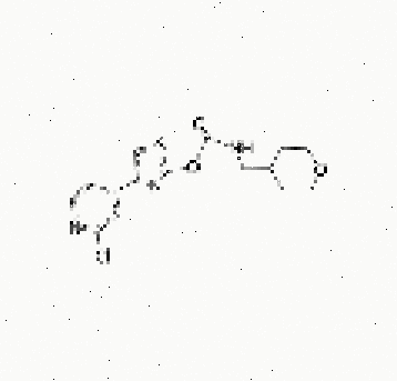 O=C(NCC1CCOCC1)Oc1nc(-c2ccnc(Cl)c2)cs1